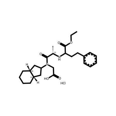 CCOC(=O)C(CCc1ccccc1)N[C@@H](C)C(=O)N(CC(=O)O)C1C[C@H]2CCCC[C@H]2C1.Cl